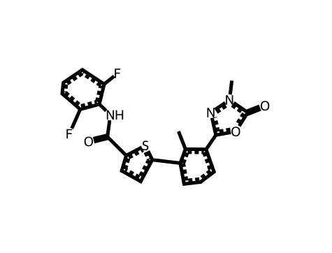 Cc1c(-c2nn(C)c(=O)o2)cccc1-c1ccc(C(=O)Nc2c(F)cccc2F)s1